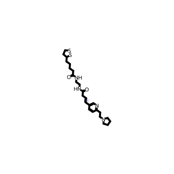 O=C(C/C=C/c1ccc(CCN2CCCC2)nc1)NCCNC(=O)CCCCC1CCSS1